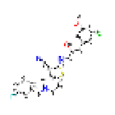 COc1cc(Cl)cc(CC(=O)CNc2sc3c(c2C#N)CN(Cc2cccc(F)c2)CC3)c1